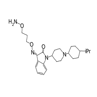 CC(C)C1CCC(N2CCC(N3C(=O)/C(=N\OCCCON)c4ccccc43)CC2)CC1